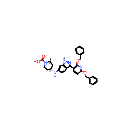 C[C@H]1C[C@H](Nc2ccc3c(-c4ccc(OCc5ccccc5)nc4OCc4ccccc4)nn(C)c3c2)CCN1C(=O)O